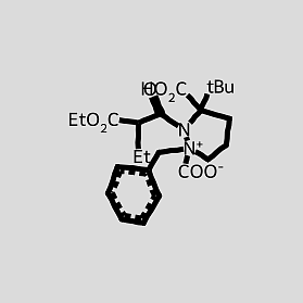 CCOC(=O)C(CC)C(=O)N1C(C(=O)O)(C(C)(C)C)CCC[N+]1(Cc1ccccc1)C(=O)[O-]